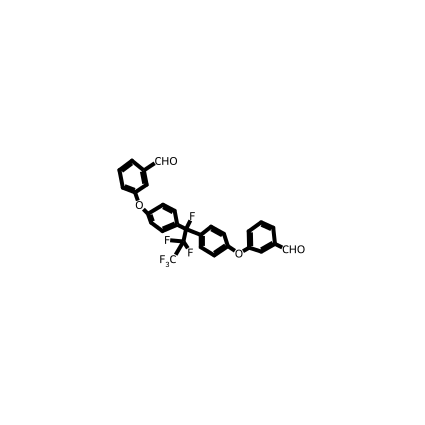 O=Cc1cccc(Oc2ccc(C(F)(c3ccc(Oc4cccc(C=O)c4)cc3)C(F)(F)C(F)(F)F)cc2)c1